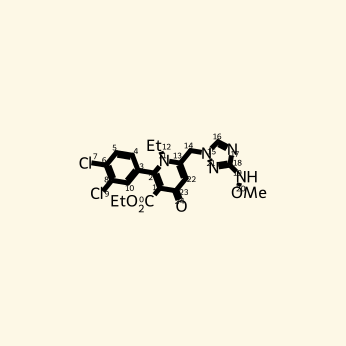 CCOC(=O)c1c(-c2ccc(Cl)c(Cl)c2)n(CC)c(Cn2cnc(NOC)n2)cc1=O